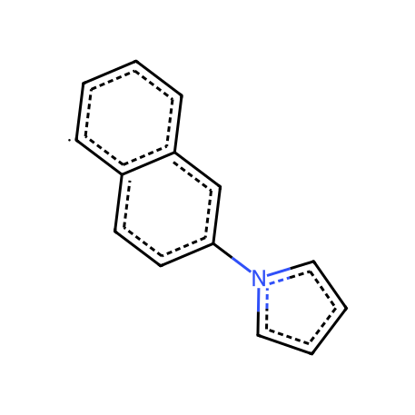 [c]1cccc2cc(-n3cccc3)ccc12